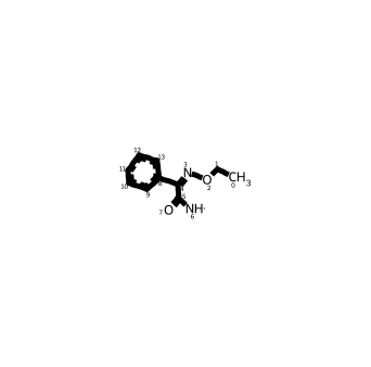 CCON=C(C([NH])=O)c1ccccc1